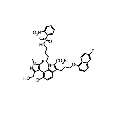 CCOC(=O)c1c(CCCOc2cccc3cc(F)ccc23)c2ccc(Cl)c(-c3c(CO)nn(C)c3CC)c2n1CCCCNS(=O)(=O)c1ccccc1[N+](=O)[O-]